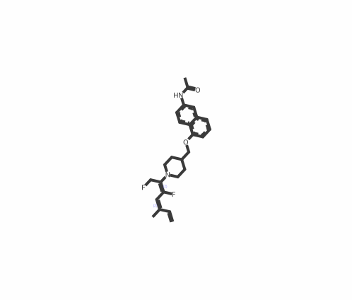 C=C/C(C)=C\C(F)=C(/CF)N1CCC(COc2cccc3cc(NC(C)=O)ccc23)CC1